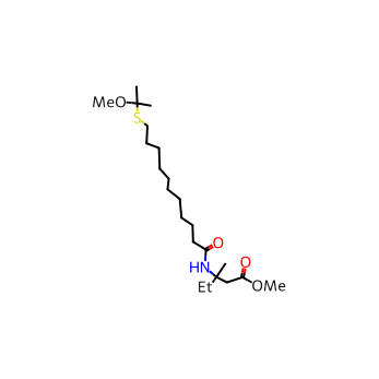 CCC(C)(CC(=O)OC)NC(=O)CCCCCCCCCCSC(C)(C)OC